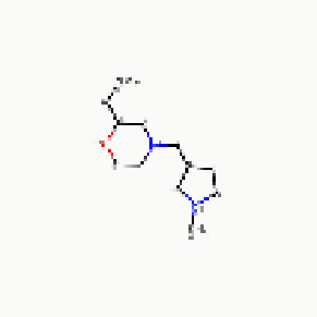 CNCC1CN(CC2CCN(C)C2)CCO1